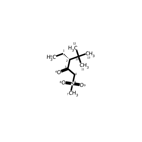 CC[C@@H](C(=O)CS(C)(=O)=O)C(C)(C)C